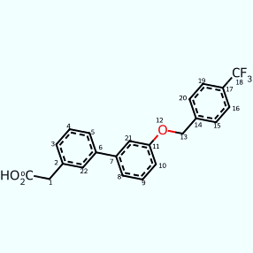 O=C(O)Cc1cccc(-c2cccc(OCc3ccc(C(F)(F)F)cc3)c2)c1